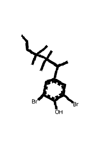 CCCC(C)(C)C(C)(C)C(C)c1cc(Br)c(O)c(Br)c1